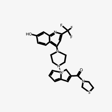 O=C(C1=CC2=CC=C[N@@+]2(N2CCN(c3cc(C(F)(F)F)nc4cc(O)ccc34)CC2)C1)N1CCSC1